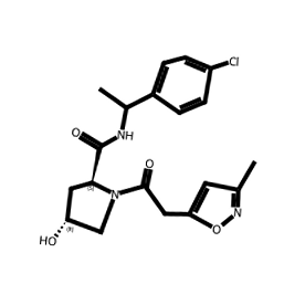 Cc1cc(CC(=O)N2C[C@H](O)C[C@H]2C(=O)NC(C)c2ccc(Cl)cc2)on1